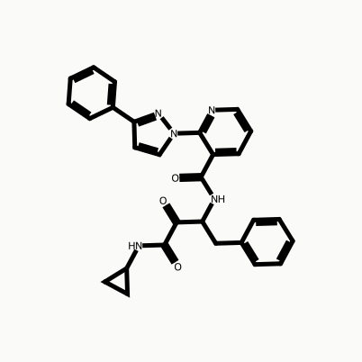 O=C(NC1CC1)C(=O)C(Cc1ccccc1)NC(=O)c1cccnc1-n1ccc(-c2ccccc2)n1